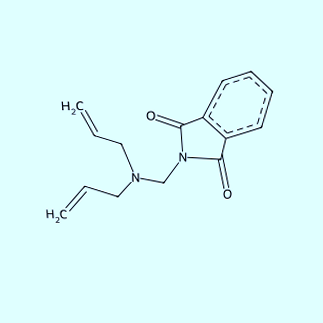 C=CCN(CC=C)CN1C(=O)c2ccccc2C1=O